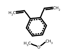 C=Cc1ccccc1C=C.COC